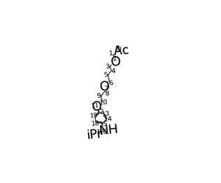 CC(=O)COCCCCOCCCOc1ccc(NC(C)C)cc1